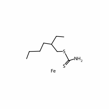 CCCCC(CC)CSC(N)=S.[Fe]